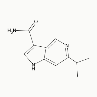 CC(C)c1cc2[nH]cc(C(N)=O)c2cn1